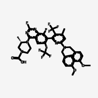 COc1ccc(CN(Cc2ccc(OC)cc2)c2cc(C)c(C(F)(F)F)c(-c3c(SC(F)(F)F)cc4c(N5CCN(C(=O)O)C[C@@H]5C)nc(F)nc4c3F)n2)cc1